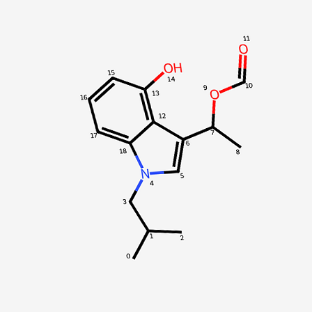 CC(C)Cn1cc(C(C)OC=O)c2c(O)cccc21